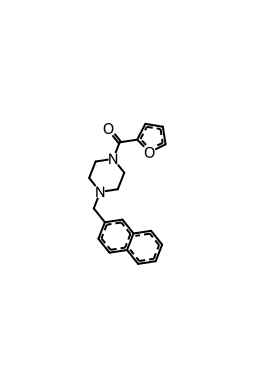 O=C(c1ccco1)N1CCN(Cc2ccc3ccccc3c2)CC1